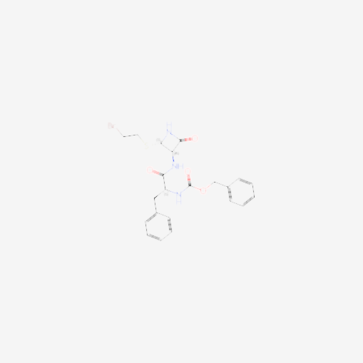 O=C(N[C@@H](Cc1ccccc1)C(=O)N[C@@H]1C(=O)N[C@H]1SCCBr)OCc1ccccc1